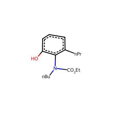 CCCCN(C(=O)OCC)c1c(O)cccc1CCC